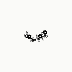 O=C(NCc1cnc(-c2ccc3[nH]ncc3c2)s1)c1ccc2c(c1)NC(=O)c1ccccc1O2